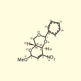 COC1C=C([N+](=O)[O-])[C@@H]2OC(c3ccccc3)OC[C@H]2O1